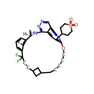 C[C@H]1Nc2nncc3nc(c(C4CCS(=O)(=O)CC4)cc23)OCCCCCC2CC(CCC(F)(F)c3cccc1c3F)C2